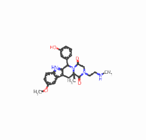 CNCCN1CC(=O)N2C(c3cccc(O)c3)c3[nH]c4ccc(OC)cc4c3CC2(C)C1=O